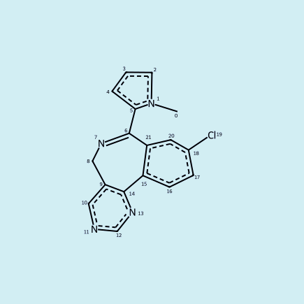 Cn1cccc1C1=NCc2cncnc2-c2ccc(Cl)cc21